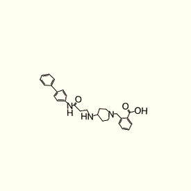 O=C(CCNC1CCN(Cc2ccccc2C(=O)O)CC1)Nc1ccc(-c2ccccc2)cc1